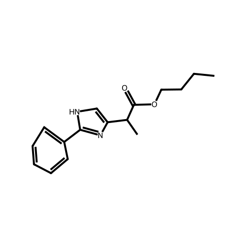 CCCCOC(=O)C(C)c1c[nH]c(-c2ccccc2)n1